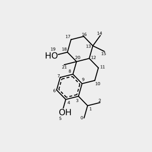 CC(C)c1c(O)ccc2c1CCC1C(C)(C)CCC(O)C21C